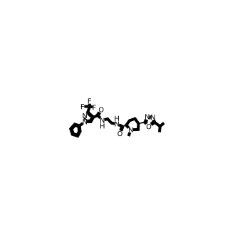 CC(C)c1nnc([C@@H]2CC[C@H](C(=O)NCCNC(=O)c3cn(-c4ccccc4)nc3C(F)(F)F)N(C)C2)o1